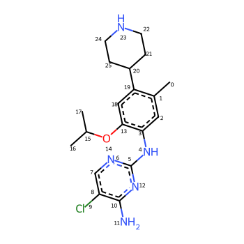 Cc1cc(Nc2ncc(Cl)c(N)n2)c(OC(C)C)cc1C1CCNCC1